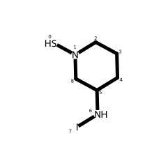 SN1CCCC(NI)C1